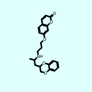 CC(CC1COc2ccccc2O1)NCCCOc1ccc2ccc(=O)oc2c1